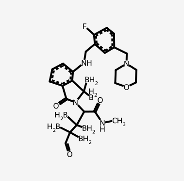 BC1(B)c2c(NCc3cc(CN4CCOCC4)ccc3F)cccc2C(=O)N1C(C(=O)NC)C(B)(B)C(B)(B)C=O